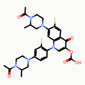 CC(=O)N1CCN(c2ccc(-n3cc(OC(=O)O)c(=O)c4cc(F)c(N5CCN(C(C)=O)C(C)C5)cc43)c(F)c2)CC1C